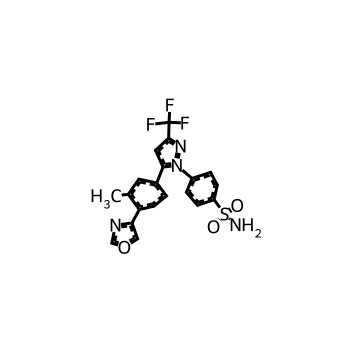 Cc1cc(-c2cc(C(F)(F)F)nn2-c2ccc(S(N)(=O)=O)cc2)ccc1-c1cocn1